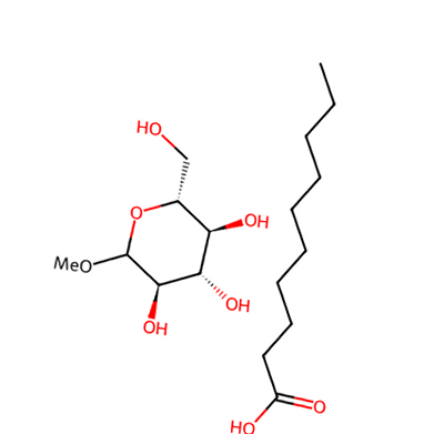 CCCCCCCCCC(=O)O.COC1O[C@H](CO)[C@@H](O)[C@H](O)[C@H]1O